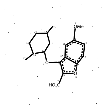 COc1ccc2oc(C(=O)O)c(OC3CC(C)CCC3C)c2c1